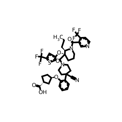 CCC[C@H]1N(C(=O)c2cnccc2C(F)(F)F)CCC[C@@]1(Oc1csc(C(F)(F)F)c1)C(=O)N1CCC(C#N)(c2ccccc2O[C@@H]2CC[C@@H](C(=O)O)C2)CC1